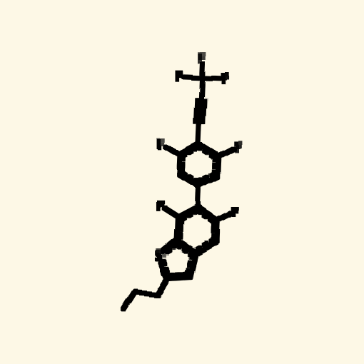 CCCc1cc2cc(F)c(-c3cc(F)c(C#CC(F)(F)F)c(F)c3)c(F)c2s1